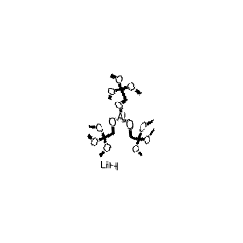 COC(C[O][Al]([O]CC(OC)(OC)OC)[O]CC(OC)(OC)OC)(OC)OC.[LiH]